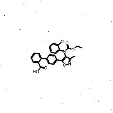 CCOC(=O)N(c1ccccc1Cl)c1c(C)noc1-c1ccc(-c2ccccc2C(=O)O)cc1